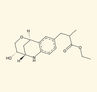 CCOC(=O)C(C)Cc1ccc2c(c1)[C@H]1C[C@H](N2)[C@H](O)CO1